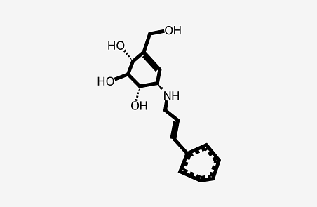 OCC1=C[C@H](NC/C=C/c2ccccc2)[C@H](O)C(O)[C@@H]1O